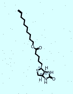 C=CCCCCCCCCOC(=O)CCCC[C@@H]1SC[C@@H]2NC(=O)N[C@@H]21